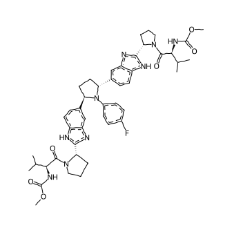 COC(=O)N[C@H](C(=O)N1CCC[C@H]1c1nc2cc([C@H]3CC[C@H](c4ccc5[nH]c([C@@H]6CCCN6C(=O)[C@@H](NC(=O)OC)C(C)C)nc5c4)N3c3ccc(F)cc3)ccc2[nH]1)C(C)C